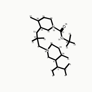 CCC(C(C)C)C1CN(CC(C)(C)CC2CN(C(=O)OC(C)(C)C)CCC2C)CCC1C